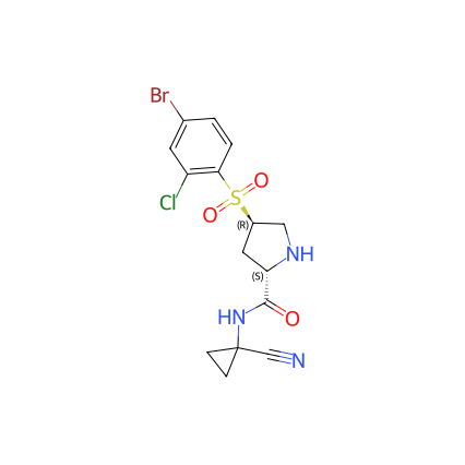 N#CC1(NC(=O)[C@@H]2C[C@@H](S(=O)(=O)c3ccc(Br)cc3Cl)CN2)CC1